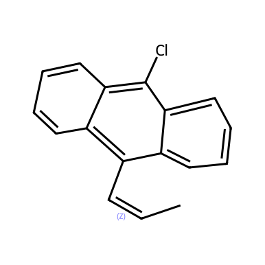 C/C=C\c1c2ccccc2c(Cl)c2ccccc12